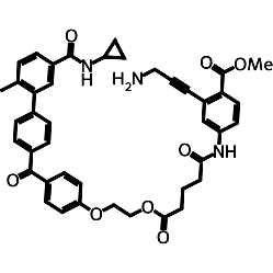 COC(=O)c1ccc(NC(=O)CCCC(=O)OCCOc2ccc(C(=O)c3ccc(-c4cc(C(=O)NC5CC5)ccc4C)cc3)cc2)cc1C#CCN